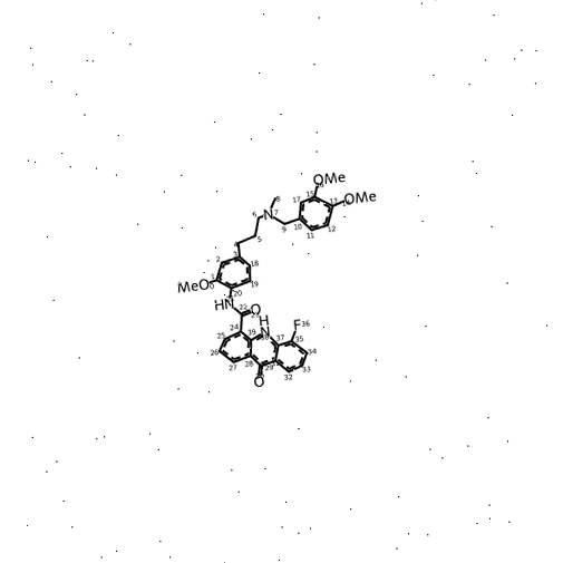 COc1cc(CCCN(C)Cc2ccc(OC)c(OC)c2)ccc1NC(=O)c1cccc2c(=O)c3cccc(F)c3[nH]c12